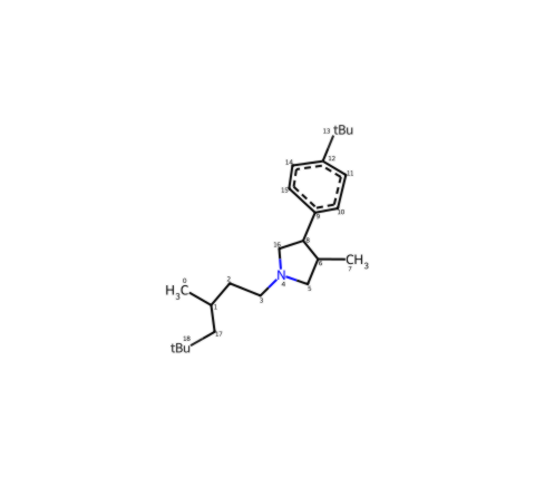 CC(CCN1CC(C)C(c2ccc(C(C)(C)C)cc2)C1)CC(C)(C)C